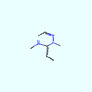 C/C=N\N(C)/C(=C\C)NC